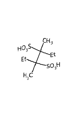 CCC(C)(C(C)(CC)S(=O)(=O)O)S(=O)(=O)O